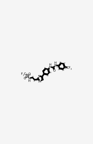 O=C(Nc1ccc(-c2cnc(CCNS(=O)(=O)C(F)(F)F)s2)cc1)Nc1ccc(C(F)(F)F)cc1